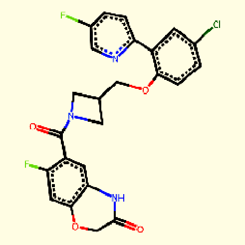 O=C1COc2cc(F)c(C(=O)N3CC(COc4ccc(Cl)cc4-c4ccc(F)cn4)C3)cc2N1